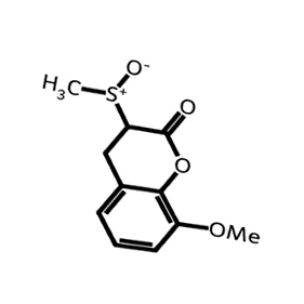 COc1cccc2c1OC(=O)C([S+](C)[O-])C2